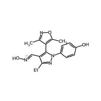 CCc1nn(-c2ccc(O)cc2)c(-c2c(C)noc2C)c1/C=N/O